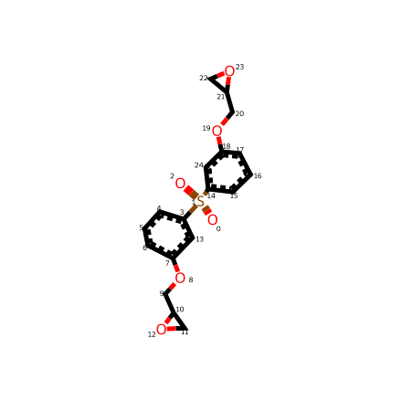 O=S(=O)(c1cccc(OCC2CO2)c1)c1cccc(OCC2CO2)c1